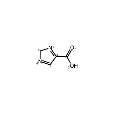 O=C(O)C1=NCN=C1